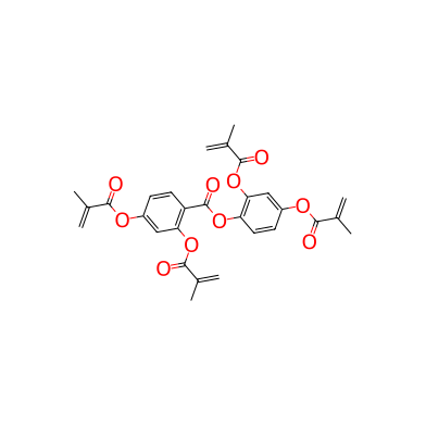 C=C(C)C(=O)Oc1ccc(OC(=O)c2ccc(OC(=O)C(=C)C)cc2OC(=O)C(=C)C)c(OC(=O)C(=C)C)c1